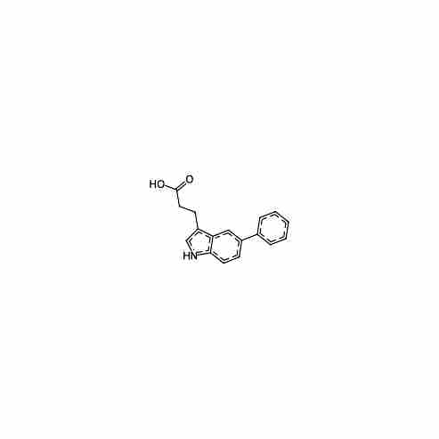 O=C(O)CCc1c[nH]c2ccc(-c3ccccc3)cc12